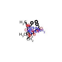 C=CCOCC(NC(=O)Cc1ccccc1)C(=O)NC(CC(C)C)C(=O)NC(COCC=C)C(=O)C(=O)NCC(=O)NC(Cc1ccc2ccccc2c1)C(N)=O